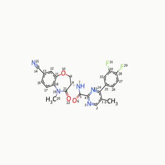 Cc1cnc(C(=O)N[C@H]2COc3cc(C#N)ccc3N(C)C2=O)nc1-c1ccc(F)c(F)c1